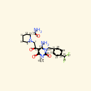 CCn1c(=O)c(C(=O)CN2CCCC[C@@H]2C(N)=O)c(N)n(Cc2ccc(C(F)F)cc2)c1=O